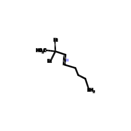 CCC(/C=C/CCCN)(CC)C(=O)O